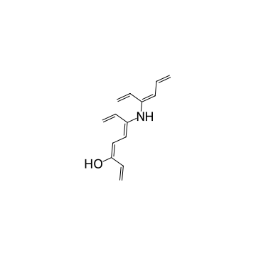 C=C/C=C(\C=C)N/C(C=C)=C/C=C(/O)C=C